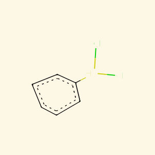 Cl[SH](Cl)c1ccccc1